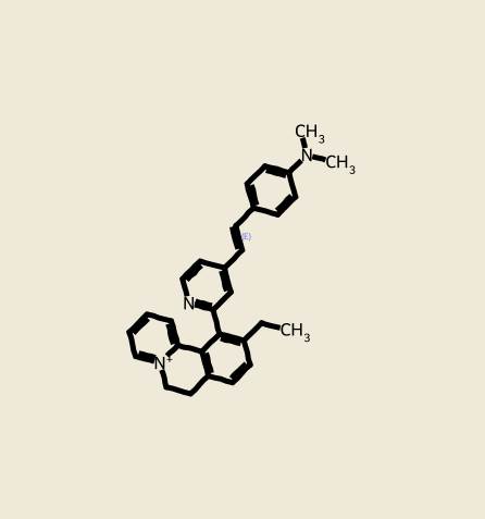 CCc1ccc2c(c1-c1cc(/C=C/c3ccc(N(C)C)cc3)ccn1)-c1cccc[n+]1CC2